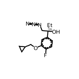 CC[C@@](O)(CN=[N+]=[N-])c1ccc(F)c(OCC2CC2)c1